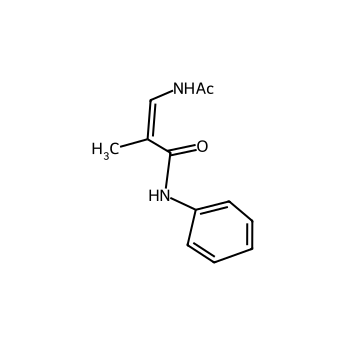 CC(=O)N/C=C(/C)C(=O)Nc1ccccc1